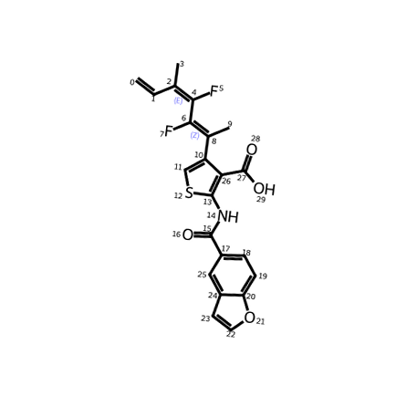 C=C/C(C)=C(F)\C(F)=C(/C)c1csc(NC(=O)c2ccc3occc3c2)c1C(=O)O